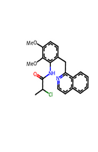 COc1ccc(Cc2nccc3ccccc23)c(NC(=O)C(C)Cl)c1OC